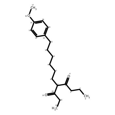 CCCC(=O)C(CCCCCCc1ccc(OC)cc1)C(=O)CC